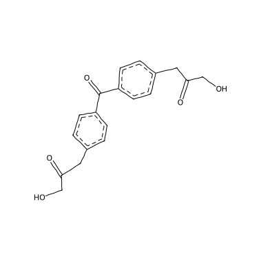 O=C(CO)Cc1ccc(C(=O)c2ccc(CC(=O)CO)cc2)cc1